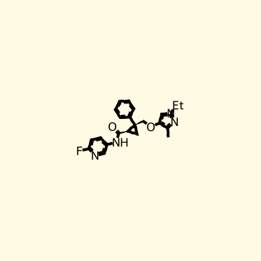 CCn1cc(OC[C@@]2(c3ccccc3)C[C@H]2C(=O)Nc2ccc(F)nc2)c(C)n1